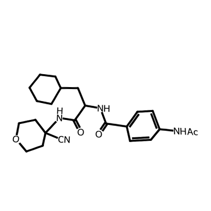 CC(=O)Nc1ccc(C(=O)NC(CC2CCCCC2)C(=O)NC2(C#N)CCOCC2)cc1